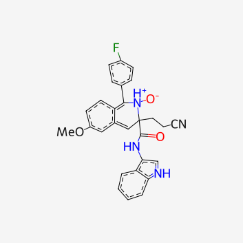 COc1ccc2c(c1)=CC(CCC#N)(C(=O)Nc1c[nH]c3ccccc13)[NH+]([O-])C=2c1ccc(F)cc1